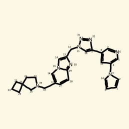 c1ccn(-c2cncc(-c3cn(Cc4cn5cc(CN6CCC7(CCC7)C6)ccc5n4)nn3)c2)c1